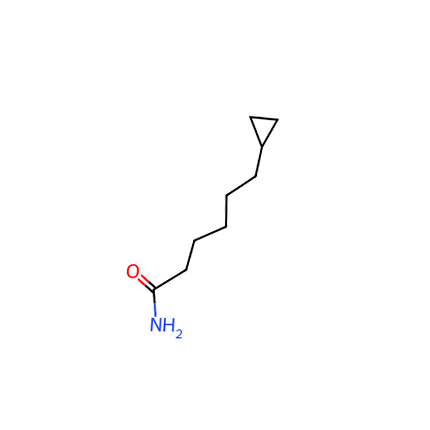 NC(=O)CCCCCC1CC1